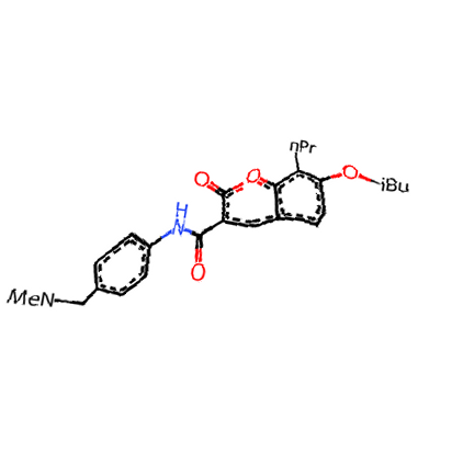 CCCc1c(O[C@H](C)CC)ccc2cc(C(=O)Nc3ccc(CNC)cc3)c(=O)oc12